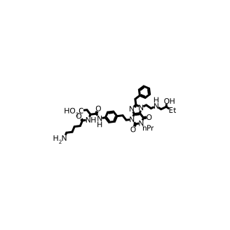 CCCn1c(=O)c2c(nc(Cc3ccccc3)n2CCNCC(O)CC)n(CCc2ccc(NC(=O)C(CC(=O)O)NC(=O)CCCCN)cc2)c1=O